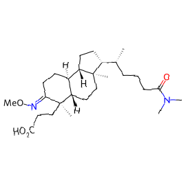 CON=C1CC[C@H]2[C@@H]3CC[C@H]([C@H](C)CCCC(=O)N(C)C)[C@@]3(C)CC[C@@H]2[C@@]1(C)CCC(=O)O